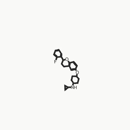 Fc1ccccc1C1CCc2cc(OC3CCC(NC4CC4)CC3)ccc2O1